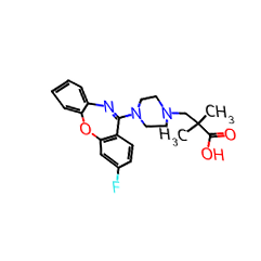 CC(C)(CN1CCN(C2=Nc3ccccc3Oc3cc(F)ccc32)CC1)C(=O)O